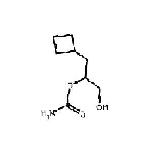 NC(=O)OC(CO)CC1CCC1